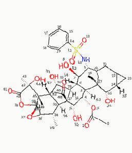 CC(=O)O[C@H]1[C@H]2[C@@H]([C@@H](O)[C@H](NS(=O)(=O)c3ccccc3)C3CC4C[C@@H]4[C@H](O)[C@@]32C)[C@@H]2[C@@H](O)[C@@H]3[C@H]([C@H](C)[C@H]4O[C@]45OC(=O)[C@@](C)(O)[C@]35C)[C@@]2(C(C)=O)[C@H]1O